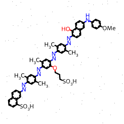 COc1ccc(Nc2ccc3c(O)c(N=Nc4cc(C)c(N=Nc5cc(C)c(N=Nc6cc(C)c(N=Nc7ccc8cccc(S(=O)(=O)O)c8c7)cc6C)cc5OCCCS(=O)(=O)O)cc4C)ccc3c2)cc1